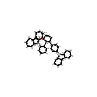 N#Cc1ccc(-c2ccc(-n3c4ccccc4c4ccccc43)cc2)c(-c2ccccc2-n2c3ccccc3c3ccccc32)c1C#N